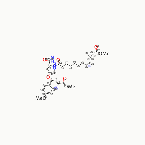 COC(=O)c1cc(O[C@@H]2C[C@@H](C(N)=O)N(C(=O)CCCCCC/C=C\[C@@H]3C[C@@H]3C(=O)OC)C2)c2ccc(OC)cc2n1